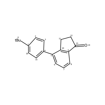 CC(C)(C)c1ccc(-c2cccc3c2CCC3=O)cc1